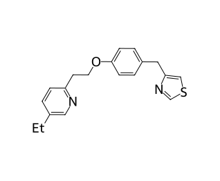 CCc1ccc(CCOc2ccc(Cc3cscn3)cc2)nc1